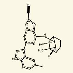 C[C@H]1C2CCC(CC2)[C@@H]1Nc1nc(-c2c[nH]c3ncc(F)cc23)nn2cc(C#N)cc12